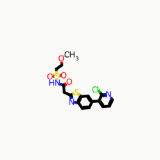 COCCS(=O)(=O)NC(=O)Cc1nc2ccc(-c3cccnc3Cl)cc2s1